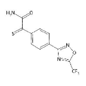 NC(=O)C(=S)c1ccc(-c2noc(C(F)(F)F)n2)cc1